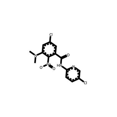 CN(C)c1cc(Cl)cc(C(=O)Nc2ccc(Cl)cn2)c1[N+](=O)[O-]